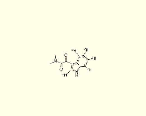 [2H]c1[nH]c2c([2H])c([2H])c([2H])c([2H])c2c1C(=O)C(=O)N(C)C